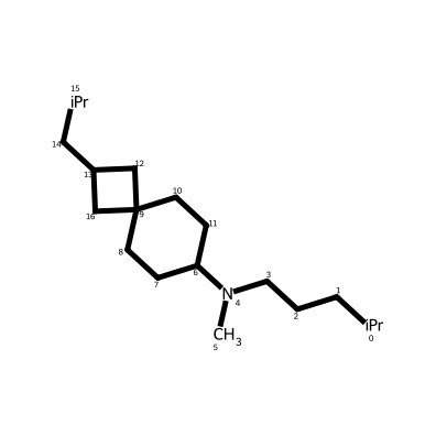 CC(C)CCCN(C)C1CCC2(CC1)CC(CC(C)C)C2